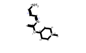 C=C(/N=C\C=C/N)OC1CCN(C)CC1